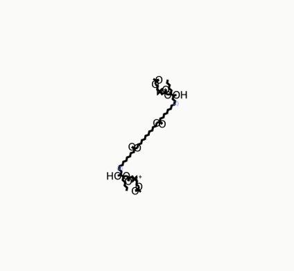 CCCCCC(OC(=O)C[N+](C)(C)CCOC(C)=O)C(O)C/C=C\CCCCCCCC(=O)OCCCCCCCCCCOC(=O)CCCCCCC/C=C\CC(O)C(CCCCC)OC(=O)C[N+](C)(C)CCOC(C)=O